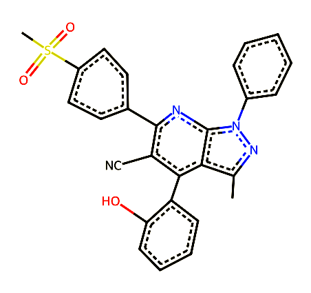 Cc1nn(-c2ccccc2)c2nc(-c3ccc(S(C)(=O)=O)cc3)c(C#N)c(-c3ccccc3O)c12